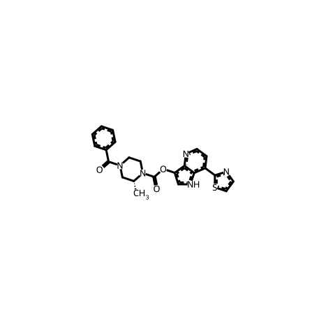 C[C@@H]1CN(C(=O)c2ccccc2)CCN1C(=O)Oc1c[nH]c2c(-c3nccs3)ccnc12